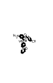 Nc1ccc(NC(=O)c2ccc(Cl)cn2)c(C(=O)Nc2ccc(N3CCCCC3=O)cc2)c1